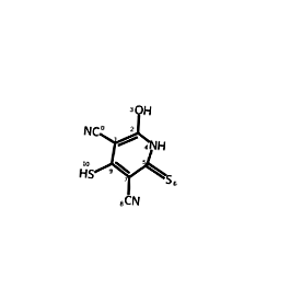 N#Cc1c(O)[nH]c(=S)c(C#N)c1S